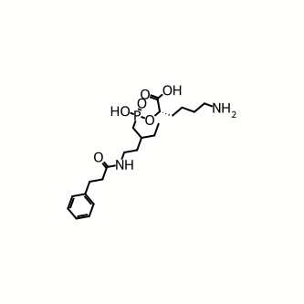 CCC(CCNC(=O)CCc1ccccc1)CP(=O)(O)O[C@@H](CCCCN)C(=O)O